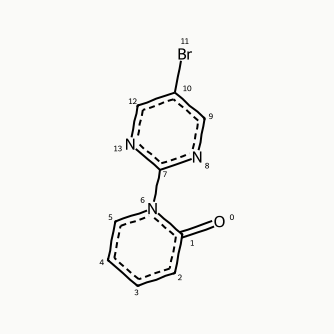 O=c1ccccn1-c1ncc(Br)cn1